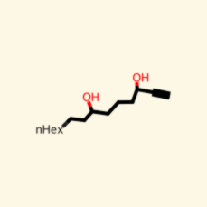 C#CC(O)CCCC(O)CCCCCCCC